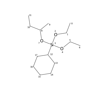 CCO[Si](OCC)(OC(C)CC)C1CCCCC1